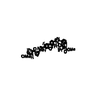 COC(=O)NC(C(=O)N1CCC[C@H]1c1ncc(-c2cc3c(cc2F)-c2ccc(-c4cnc([C@@H]5CCCN5C(=O)[C@@H](NC(=O)OC)C(C)C)[nH]4)c(F)c2CO3)[nH]1)C(C)C